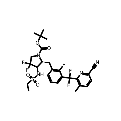 CCS(=O)(=O)N[C@@H]1[C@H](Cc2cccc(C(F)(F)c3nc(C#N)ccc3C)c2F)N(C(=O)OC(C)(C)C)CC1(F)F